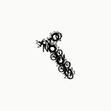 CC(C)(C)c1nc2cc(S(=O)(=O)c3ccc(S(=O)(=O)N4CCOCC4)cn3)ccc2n1CC1CCOCC1